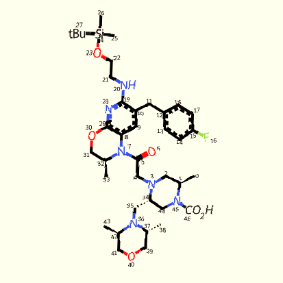 C[C@@H]1CN(CC(=O)N2c3cc(Cc4ccc(F)cc4)c(NCCO[Si](C)(C)C(C)(C)C)nc3OC[C@@H]2C)[C@@H](CN2[C@H](C)COC[C@H]2C)CN1C(=O)O